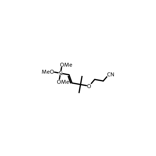 CO[Si](C=CC(C)(C)OCCC#N)(OC)OC